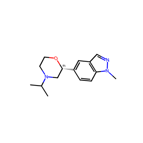 CC(C)N1CCO[C@H](c2ccc3c(cnn3C)c2)C1